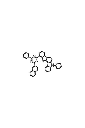 c1ccc(-c2nc(-c3ccc4ccccc4c3)nc(-c3cccc4c3sc3c4ccc4c3c3ccccc3n4-c3ccccc3)n2)cc1